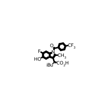 CCC(C)[C@H](C(=O)O)c1c(C)n(C(=O)c2ccc(C(F)(F)F)cc2)c2cc(F)c(O)cc12